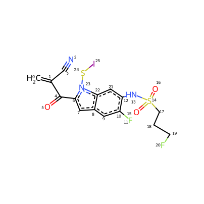 C=C(C#N)C(=O)c1cc2cc(F)c(NS(=O)(=O)CCCF)cc2n1SI